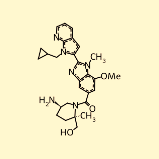 COc1cc(C(=O)N2C[C@H](N)CC[C@]2(C)CO)cc2nc(-c3cc4cccnc4n3CC3CC3)n(C)c12